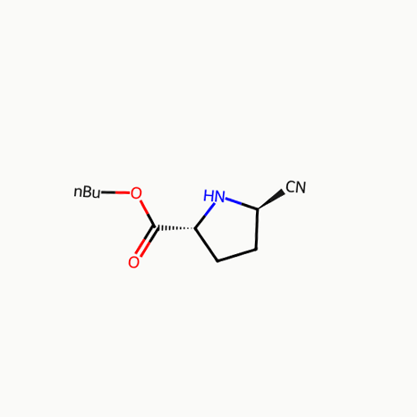 CCCCOC(=O)[C@H]1CC[C@H](C#N)N1